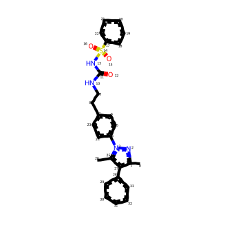 Cc1nn(-c2ccc(CCNC(=O)NS(=O)(=O)c3ccccc3)cc2)c(C)c1-c1ccccc1